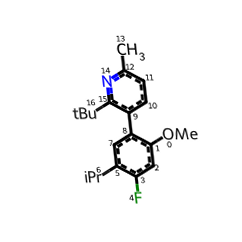 COc1cc(F)c(C(C)C)cc1-c1ccc(C)nc1C(C)(C)C